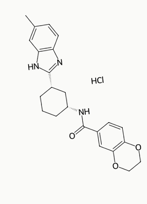 Cc1ccc2nc([C@H]3CCC[C@@H](NC(=O)c4ccc5c(c4)OCCO5)C3)[nH]c2c1.Cl